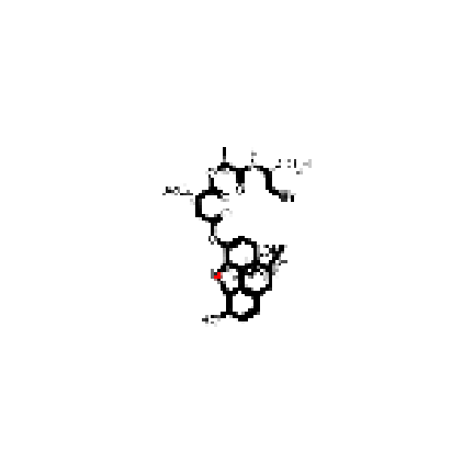 CC(=O)O[C@@H](CC(=O)OC1=CC[C@@]2(O)[C@H]3Cc4ccc(O)c5c4[C@@]2(CCN3C)[C@H]1O5)C(=O)O[C@@H](C)C(=O)N[C@@H](CC(C)C)C(=O)O